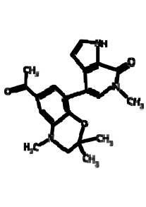 CC(=O)c1cc(-c2cn(C)c(=O)c3[nH]ccc23)c2c(c1)N(C)CC(C)(C)O2